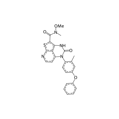 CON(C)C(=O)c1sc2nccc3c2c1NC(=O)N3c1ccc(Oc2ccccc2)cc1C